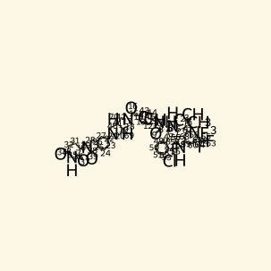 CC(C)(C)C[C@@H]1N[C@@H](C(=O)NC23CCC(C(=O)N4C[C@@H]5CN(c6ccc7c(c6)CN(C6CCC(=O)NC6=O)C7=O)C[C@H]5C4)(CC2)CC3)[C@H](c2cccc(Cl)c2F)[C@]12CNc1cc(C(F)(F)F)ncc12